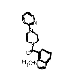 Cn1ccc2cccc(C(=O)N3CCN(c4ncccn4)CC3)c21